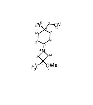 COC1(C(F)(F)F)CN([C@H]2CC[C@](CC#N)(C(C)C)CC2)C1